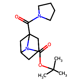 CC(C)(C)OC(=O)N1C2CCCC1(C(=O)N1CCCC1)C2